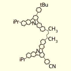 CC(C)c1ccc2cc3c(cc2c1)c1cc(-c2ccc(C#N)cc2)cc2c4cc5cc(C(C)CCC(C)c6ccc7cc8c(cc7c6)c6cc(-c7ccc(C(C)(C)C)cc7)cc7c9cc%10cc(C(C)C)ccc%10cc9n8c76)ccc5cc4n3c12